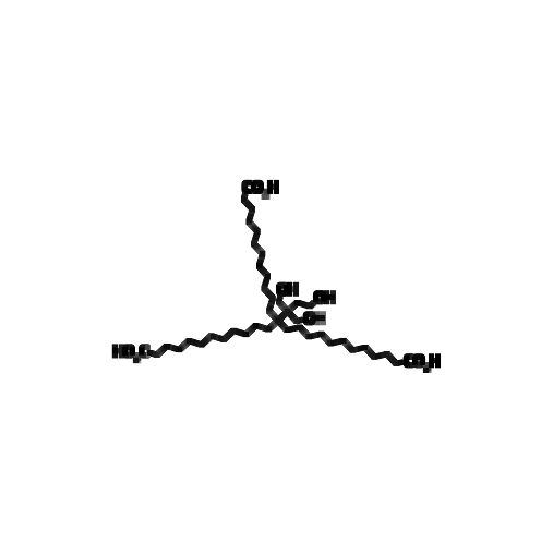 O=C(O)CCCCCCCCCCCC(CCCCCCCCCCCC(=O)O)(CCCCCCCCCCCC(=O)O)C(CO)(CO)CCO